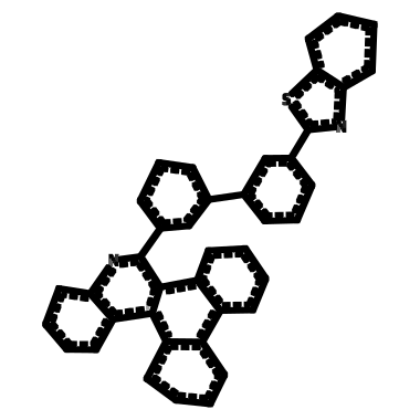 c1cc(-c2cccc(-c3nc4ccccc4c4c5ccccc5c5ccccc5c34)c2)cc(-c2nc3ccccc3s2)c1